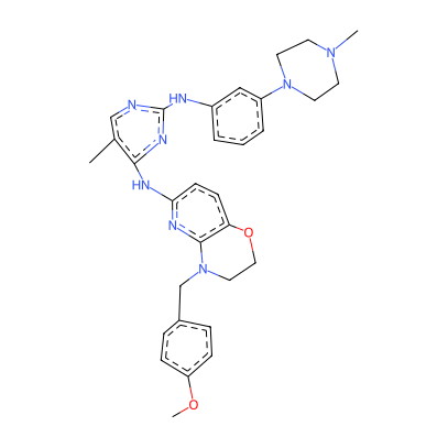 COc1ccc(CN2CCOc3ccc(Nc4nc(Nc5cccc(N6CCN(C)CC6)c5)ncc4C)nc32)cc1